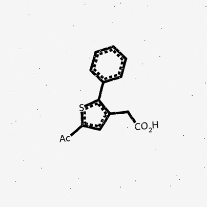 CC(=O)c1cc(CC(=O)O)c(-c2ccccc2)s1